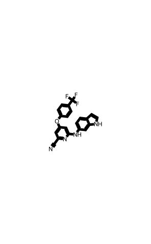 N#Cc1cc(Oc2ccc(C(F)(F)F)cc2)cc(Nc2ccc3cc[nH]c3c2)n1